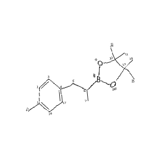 Cc1ccc(CC(C)B2OC(C)(C)C(C)(C)O2)cc1